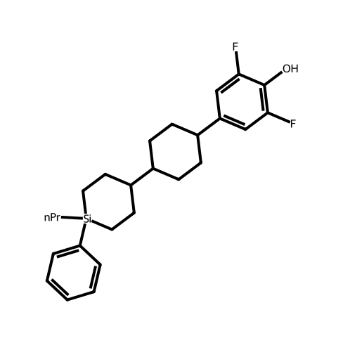 CCC[Si]1(c2ccccc2)CCC(C2CCC(c3cc(F)c(O)c(F)c3)CC2)CC1